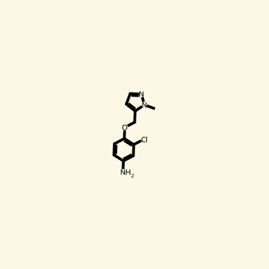 Cn1nccc1COc1ccc(N)cc1Cl